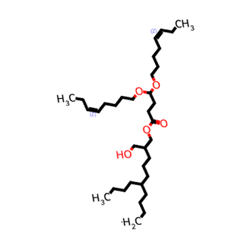 [CH2]CCCC(CCCC)CCCC(CO)COC(=O)CCC(OCCCC/C=C\CC)OCCCC/C=C\CC